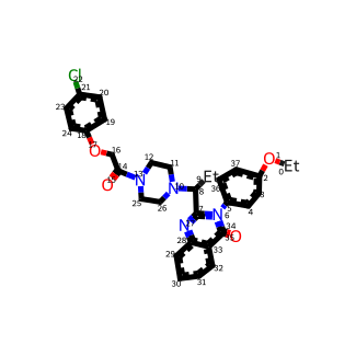 CCOc1ccc(-n2c(C(CC)N3CCN(C(=O)COc4ccc(Cl)cc4)CC3)nc3ccccc3c2=O)cc1